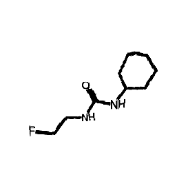 O=C(NCCF)NC1CCCCC1